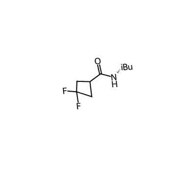 CC[C@@H](C)NC(=O)C1CC(F)(F)C1